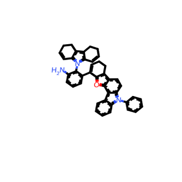 Nc1cccc(C2=CCCc3c2oc2c3ccc3c2c2ccccc2n3-c2ccccc2)c1-n1c2c(c3c1C=CCC3)CCC=C2